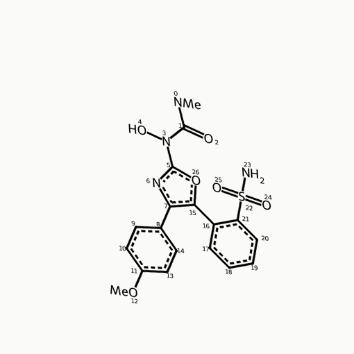 CNC(=O)N(O)c1nc(-c2ccc(OC)cc2)c(-c2ccccc2S(N)(=O)=O)o1